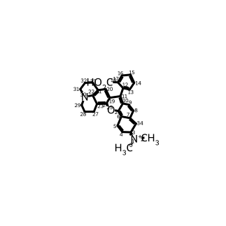 C[N+](C)=c1ccc2c(ccc3c(-c4ccccc4C(=O)O)c4cc5c6c(c4oc32)CCCN6CCC5)c1